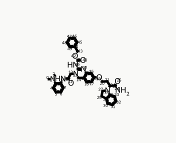 CN(C)c1ccccc1NC(=O)CN1Cc2ccc(OCCC(C(N)=O)N3CCc4ccccc43)cc2N=C1NC(=O)OCc1ccccc1